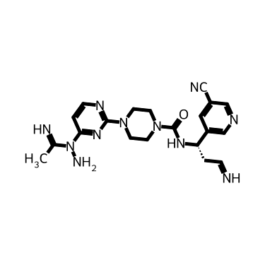 CC(=N)N(N)c1ccnc(N2CCN(C(=O)N[C@@H](CC=N)c3cncc(C#N)c3)CC2)n1